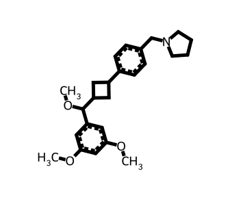 COc1cc(OC)cc(C(OC)C2CC(c3ccc(CN4CCCC4)cc3)C2)c1